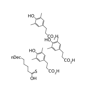 CCCCCCCCCCCCCCC(O)=S.Cc1cc(CCC(=O)O)cc(C)c1O.Cc1cc(CCC(=O)O)cc(C)c1O.Cc1cc(CCC(=O)O)cc(C)c1O